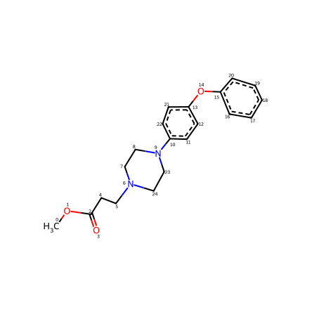 COC(=O)CCN1CCN(c2ccc(Oc3ccccc3)cc2)CC1